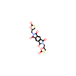 O=C1OC(Cn2c(=O)c3cc4c(=O)n(CC5CSC(=O)O5)c(=O)c4cc3c2=O)CS1